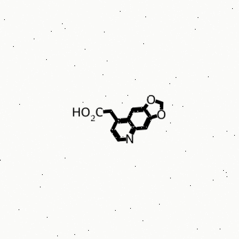 O=C(O)Cc1ccnc2cc3c(cc12)OCO3